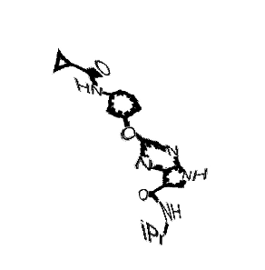 CC(C)NC(=O)c1c[nH]c2ncc(Oc3cccc(NC(=O)C4CC4)c3)nc12